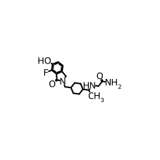 CC(NCC(N)=O)C1CCC(CN2Cc3ccc(O)c(F)c3C2=O)CC1